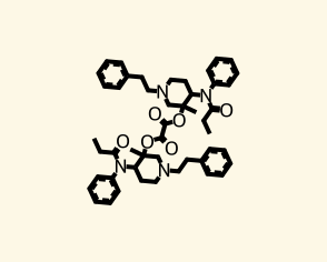 CCC(=O)N(c1ccccc1)C1CCN(CCc2ccccc2)CC1(C)OC(=O)C(=O)OC1(C)CN(CCc2ccccc2)CCC1N(C(=O)CC)c1ccccc1